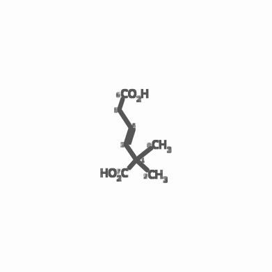 CC(C)(/C=C/CC(=O)O)C(=O)O